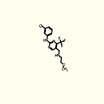 COCCNCc1cnc(Nc2cccc(Cl)c2)nc1C(F)(F)F